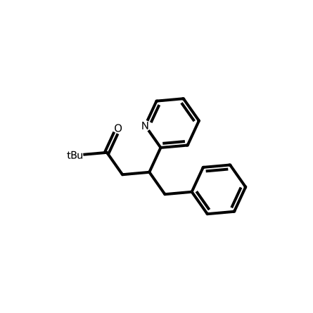 CC(C)(C)C(=O)CC(Cc1ccccc1)c1ccccn1